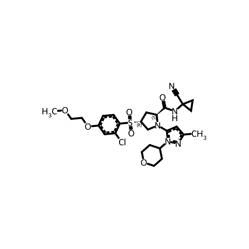 COCCOc1ccc(S(=O)(=O)[C@@H]2C[C@@H](C(=O)NC3(C#N)CC3)N(c3cc(C)nn3C3CCOCC3)C2)c(Cl)c1